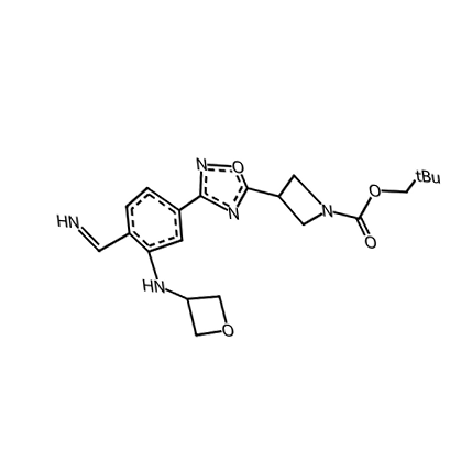 CC(C)(C)COC(=O)N1CC(c2nc(-c3ccc(C=N)c(NC4COC4)c3)no2)C1